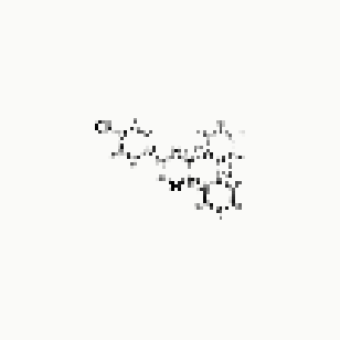 Clc1ccc(-c2cnc3c4ccccc4c4ccccc4c3n2)cc1